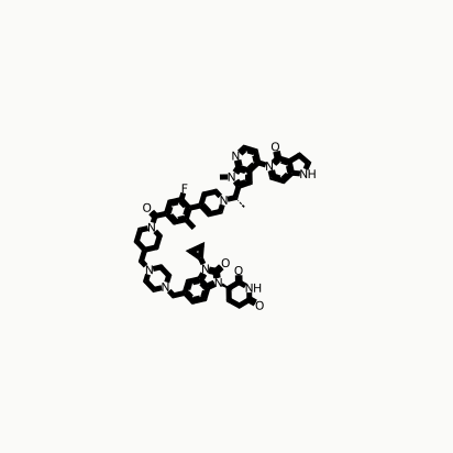 Cc1cc(C(=O)N2CCC(CN3CCN(Cc4ccc5c(c4)n(C4CC4)c(=O)n5[C@@H]4CCC(=O)NC4=O)CC3)CC2)cc(F)c1C1=CCN([C@@H](C)c2cc3c(-n4ccc5c(c4=O)CCN5)ccnc3n2C)CC1